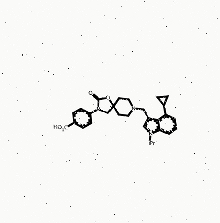 CC(C)n1cc(CN2CCC3(CC2)CN(c2ccc(C(=O)O)cc2)C(=O)O3)c2c(C3CC3)cccc21